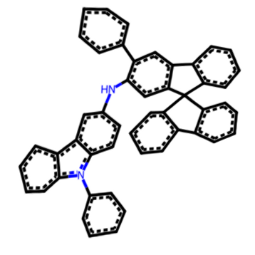 c1ccc(-c2cc3c(cc2Nc2ccc4c(c2)c2ccccc2n4-c2ccccc2)C2(c4ccccc4-c4ccccc42)c2ccccc2-3)cc1